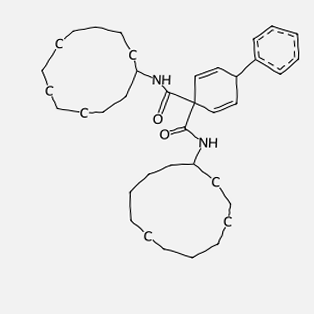 O=C(NC1CCCCCCCCCCC1)C1(C(=O)NC2CCCCCCCCCCC2)C=CC(c2ccccc2)C=C1